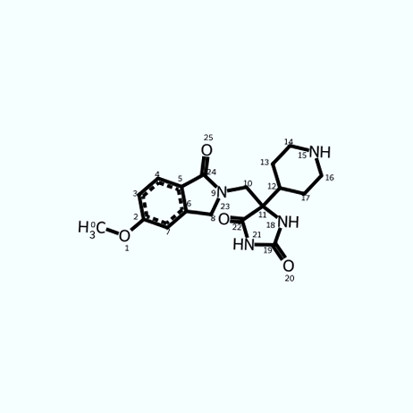 COc1ccc2c(c1)CN(CC1(C3CCNCC3)NC(=O)NC1=O)C2=O